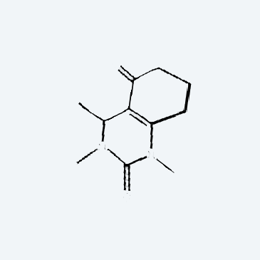 CC1C2=C(CCCC2=O)N(C)C(=O)N1C